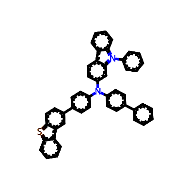 c1ccc(-c2ccc(N(c3ccc(-c4ccc5sc6ccccc6c5c4)cc3)c3ccc4c5ccccc5n(-c5ccccc5)c4c3)cc2)cc1